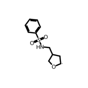 O=S(=O)(NCC1C[CH]OC1)c1ccccc1